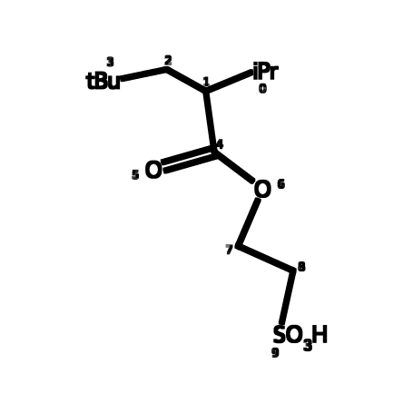 CC(C)C(CC(C)(C)C)C(=O)OCCS(=O)(=O)O